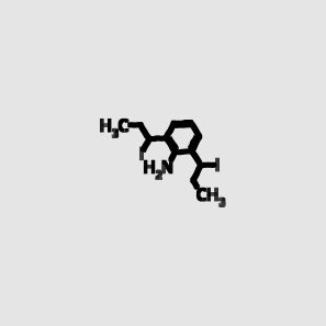 CCC(I)c1cccc(C(I)CC)c1N